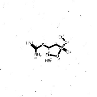 Br.CCOP(=O)(CCSC(=N)N)OCC